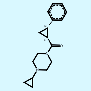 O=C([C@H]1C[C@@H]1c1ccccc1)N1CCN(C2CC2)CC1